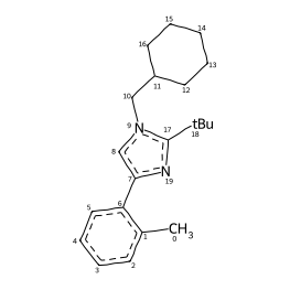 Cc1ccccc1-c1cn(CC2CCCCC2)c(C(C)(C)C)n1